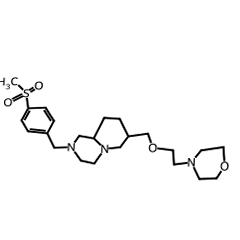 CS(=O)(=O)c1ccc(CN2CCN3CC(COCCN4CCOCC4)CCC3C2)cc1